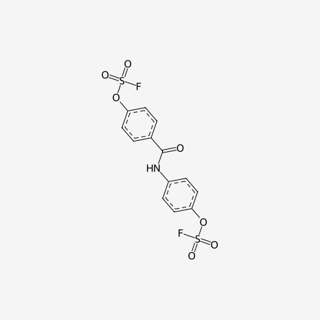 O=C(Nc1ccc(OS(=O)(=O)F)cc1)c1ccc(OS(=O)(=O)F)cc1